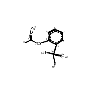 CC(=O)Oc1[c]cccc1C(F)(F)F